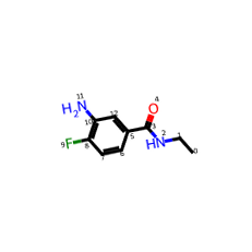 CCNC(=O)c1ccc(F)c(N)c1